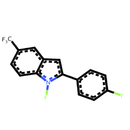 Fc1ccc(-c2cc3cc(C(F)(F)F)ccc3n2F)cc1